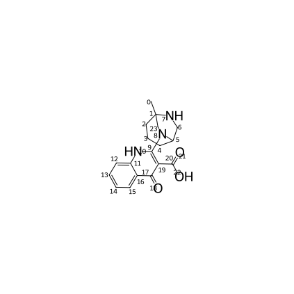 CC12CCCC(CN1)N(c1[nH]c3ccccc3c(=O)c1C(=O)O)C2